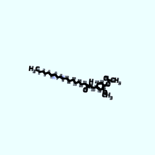 CCCCC/C=C/C/C=C/CCCCCCCC(=O)NCc1ccc(OC(C)=O)c(OC)c1